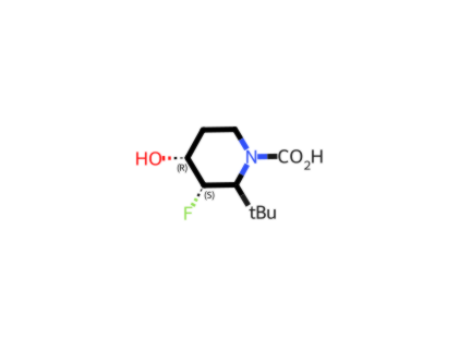 CC(C)(C)C1[C@H](F)[C@H](O)CCN1C(=O)O